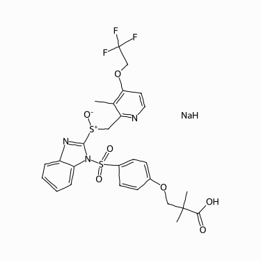 Cc1c(OCC(F)(F)F)ccnc1C[S+]([O-])c1nc2ccccc2n1S(=O)(=O)c1ccc(OCC(C)(C)C(=O)O)cc1.[NaH]